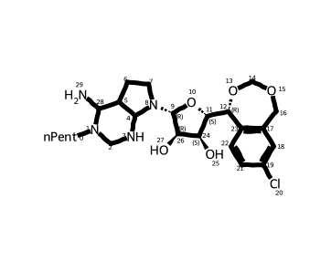 CCCCCN1CNC2C(CCN2[C@@H]2O[C@H]([C@@H]3OCOCc4cc(Cl)ccc43)[C@@H](O)[C@H]2O)C1N